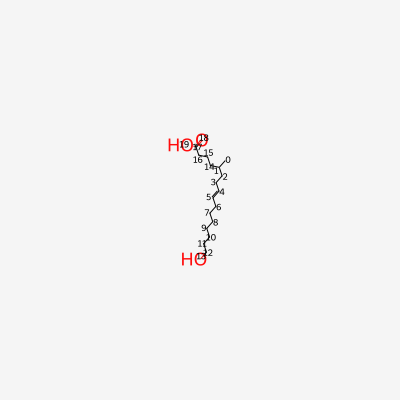 CC(CC/C=C/CCCCCCCO)CCCC(=O)O